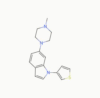 CN1CCN(c2ccc3ccn(-c4ccsc4)c3c2)CC1